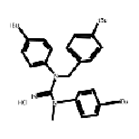 CCC(C)c1ccc(N(C)C(=N)N(Cc2ccc(C(C)(C)C)cc2)c2ccc(C(C)CC)cc2)cc1.Cl